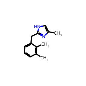 Cc1c[nH]c(Cc2cccc(C)c2C)n1